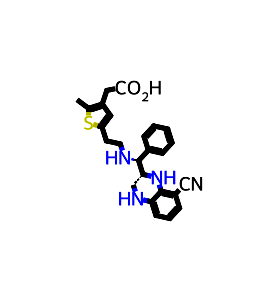 Cc1sc(CCN[C@H](c2ccccc2)[C@H]2CNc3cccc(C#N)c3N2)cc1CC(=O)O